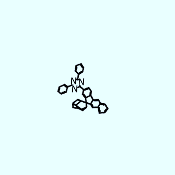 c1ccc(-c2nc(-c3ccccc3)nc(-c3ccc4c(c3)C3(c5cc6ccccc6cc5-4)C4CC5CC(C4)CC3C5)n2)cc1